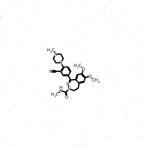 CNC(=O)N1CCc2cc(OC)c(OC)cc2C(c2ccc(N3CCN(C)CC3)c(C#N)c2)=N1